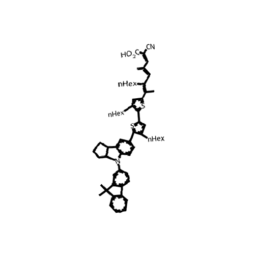 CCCCCCC(/C=C(C)/C=C(/C#N)C(=O)O)=C(/C)c1cc(CCCCCC)c(-c2cc(CCCCCC)c(-c3ccc4c(c3)C3CCCC3N4c3ccc4c(c3)C(C)(C)c3ccccc3-4)s2)s1